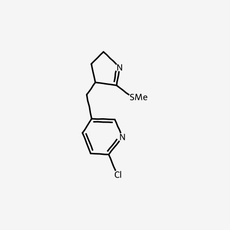 CSC1=NCCC1Cc1ccc(Cl)nc1